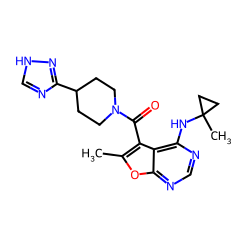 Cc1oc2ncnc(NC3(C)CC3)c2c1C(=O)N1CCC(c2nc[nH]n2)CC1